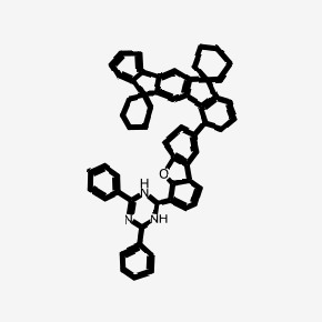 C1=CC2C3=C(CCC(C4CC=CC5=C4c4cc6c(cc4C54CCCCC4)-c4ccccc4C64CCCCC4)=C3)OC2C(C2NC(c3ccccc3)=NC(C3=CCCC=C3)N2)=C1